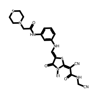 CCn1c(=C(C#N)C(=O)NCC#N)sc(=CNc2cccc(NC(=O)CN3CCSCC3)c2)c1=O